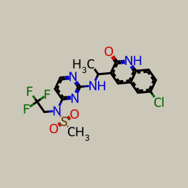 CC(Nc1nccc(N(CC(F)(F)F)S(C)(=O)=O)n1)c1cc2cc(Cl)ccc2[nH]c1=O